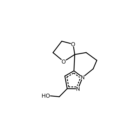 OCc1cc2n(n1)CCCC21OCCO1